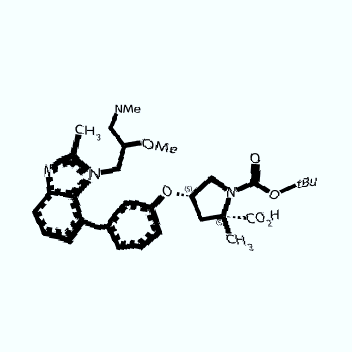 CNCC(Cn1c(C)nc2cccc(-c3cccc(O[C@@H]4CN(C(=O)OC(C)(C)C)[C@](C)(C(=O)O)C4)c3)c21)OC